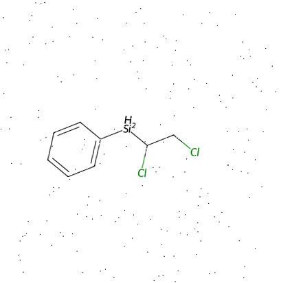 ClCC(Cl)[SiH2]c1ccccc1